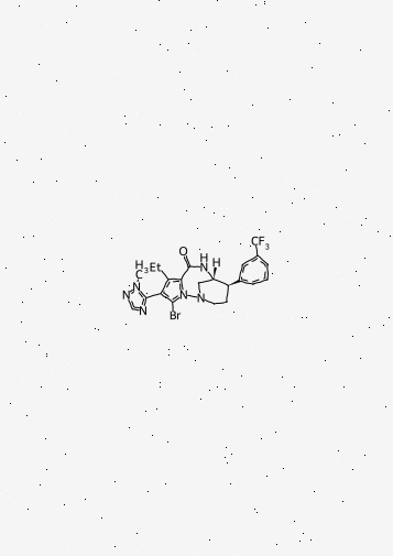 CCc1c(-c2ncnn2C)c(Br)n2c1C(=O)N[C@H]1CN2CC[C@@H]1c1cccc(C(F)(F)F)c1